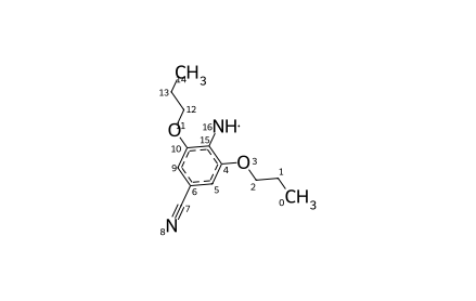 CCCOc1cc(C#N)cc(OCCC)c1[NH]